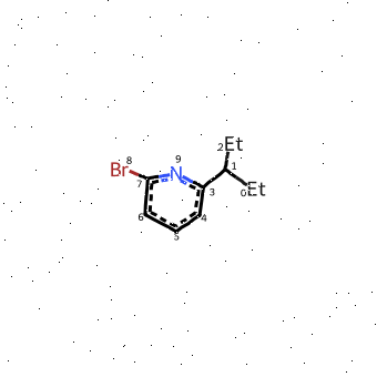 CCC(CC)c1cccc(Br)n1